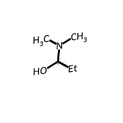 CC[C](O)N(C)C